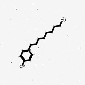 OCCCCCCCCc1ccc(Cl)cc1